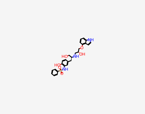 O=S(=O)(Nc1cc(C[C@@H](CO)NC[C@H](O)COc2cccc3[nH]ccc23)ccc1O)c1ccccc1